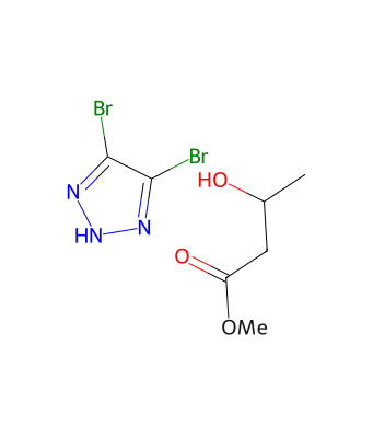 Brc1n[nH]nc1Br.COC(=O)CC(C)O